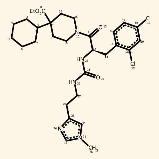 CCOC(=O)C1(C2CCCCC2)CCN(C(=O)[C@@H](Cc2ccc(Cl)cc2Cl)NC(=O)NCCc2cn(C)cn2)CC1